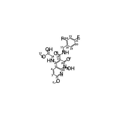 COc1ccc2c(NCC(O)OC)c(C(=O)NCc3ccc(F)cc3F)c(=O)n(O)c2n1